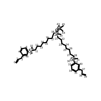 C=CCc1cccc([Si](C)(C)CCCCCCCC[Si](C)(CCCCCCCC[Si](C)(C)c2cccc(CC=C)c2)O[Si](C)(C)C)c1